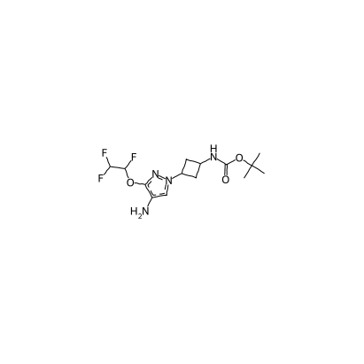 CC(C)(C)OC(=O)NC1CC(n2cc(N)c(OC(F)C(F)F)n2)C1